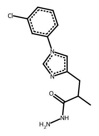 CC(Cc1cn(-c2cccc(Cl)c2)cn1)C(=O)NN